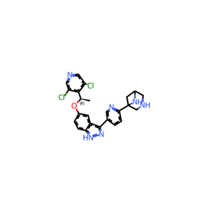 C[C@@H](Oc1ccc2[nH]nc(-c3ccc(C45CNCC(C4)N5)nc3)c2c1)c1c(Cl)cncc1Cl